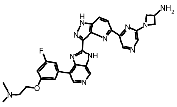 CN(C)CCOc1cc(F)cc(-c2cncc3[nH]c(-c4n[nH]c5ccc(-c6cncc(N7CC(N)C7)n6)nc45)nc23)c1